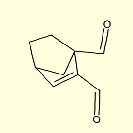 O=CC1=CC2CCC1(C=O)C2